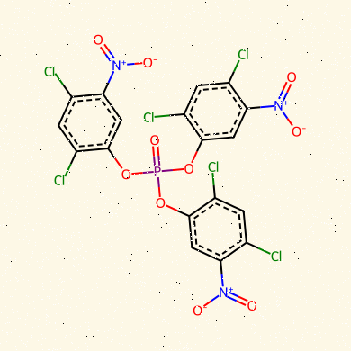 O=[N+]([O-])c1cc(OP(=O)(Oc2cc([N+](=O)[O-])c(Cl)cc2Cl)Oc2cc([N+](=O)[O-])c(Cl)cc2Cl)c(Cl)cc1Cl